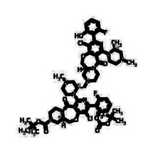 C[C@H]1CN(C)CCN1c1nc(-c2c(O)cccc2F)c(Cl)c2c1C(=O)N1CCN(C[C@H]3CN(C)CCN3c3nc(-c4c(F)cccc4OC(=O)OC(C)(C)C)c(Cl)c4c3C(=O)N3CCN(C(=O)OC(C)(C)C)C[C@@H]3CO4)C[C@@H]1CO2